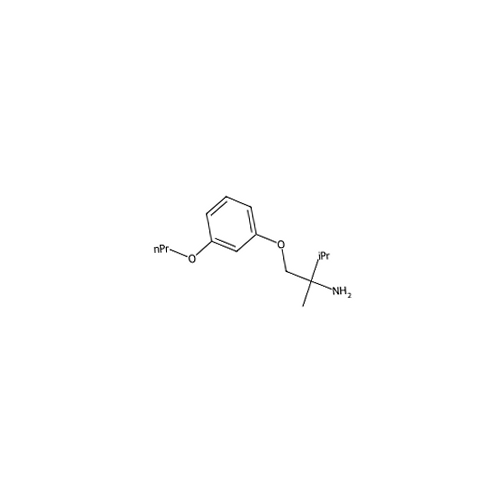 CCCOc1cccc(OCC(C)(N)C(C)C)c1